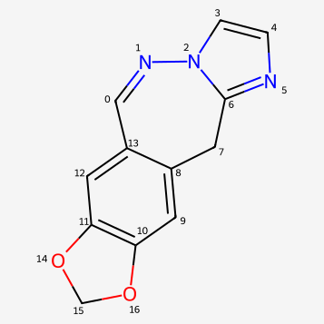 C1=Nn2ccnc2Cc2cc3c(cc21)OCO3